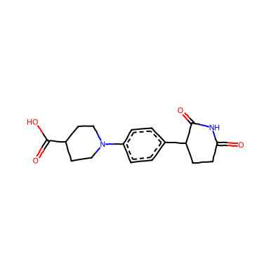 O=C1CCC(c2ccc(N3CCC(C(=O)O)CC3)cc2)C(=O)N1